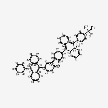 FC(F)(F)c1ccc(C2=c3ccccc3=C(c3ccc4c(c3)sc3ccc(-c5c6ccccc6c(-c6ccccc6)c6ccccc56)cc34)C3C=CC=C[C@H]23)cc1